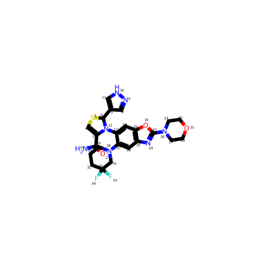 NC(=O)C1=CSC(c2cn[nH]c2)N1c1cc2oc(N3CCOCC3)nc2cc1N1CCCC(F)(F)C1